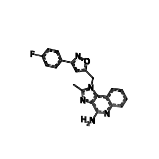 Cc1nc2c(N)nc3ccccc3c2n1Cc1cc(-c2ccc(F)cc2)no1